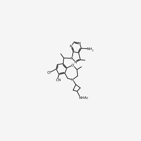 CC(=O)NC1CC(N2Cc3c(C#N)c(Cl)cc(C(C)n4nc(C)c5c(N)ncnc54)c3OC(C)C2)C1